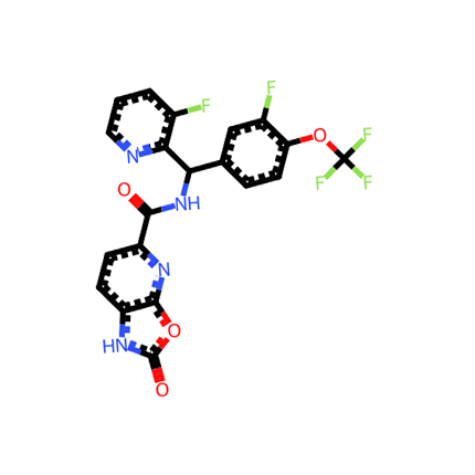 O=C(NC(c1ccc(OC(F)(F)F)c(F)c1)c1ncccc1F)c1ccc2[nH]c(=O)oc2n1